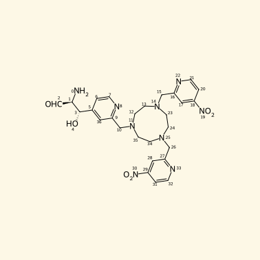 N[C@H](C=O)[C@@H](O)c1ccnc(CN2CCN(Cc3cc([N+](=O)[O-])ccn3)CCN(Cc3cc([N+](=O)[O-])ccn3)CC2)c1